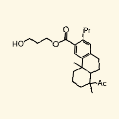 CC(=O)C1(C)CCCC2(C)c3cc(C(=O)OCCCO)c(C(C)C)cc3CCC12